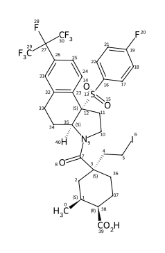 C[C@H]1C[C@@](CCI)(C(=O)N2CC[C@]3(S(=O)(=O)c4ccc(F)cc4)c4ccc(C(F)(C(F)(F)F)C(F)(F)F)cc4CC[C@H]23)CC[C@H]1C(=O)O